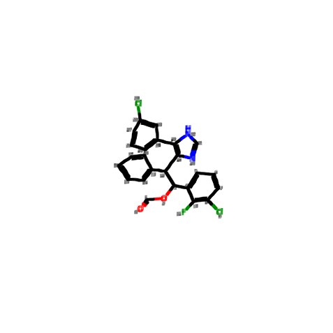 O=COC(c1cccc(Cl)c1F)C(c1ccccc1)c1nc[nH]c1-c1cccc(Cl)c1